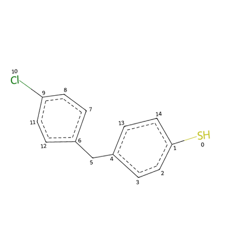 Sc1ccc(Cc2ccc(Cl)cc2)cc1